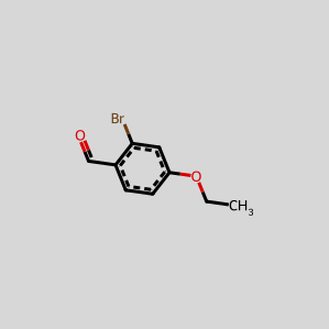 CCOc1ccc(C=O)c(Br)c1